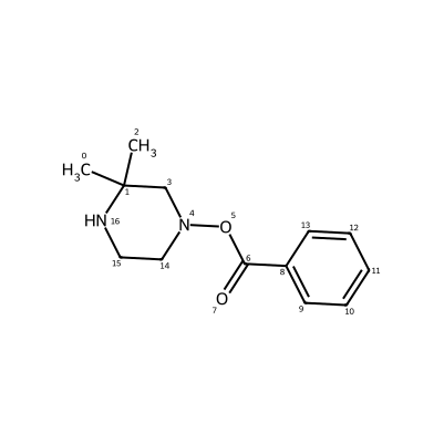 CC1(C)CN(OC(=O)c2ccccc2)CCN1